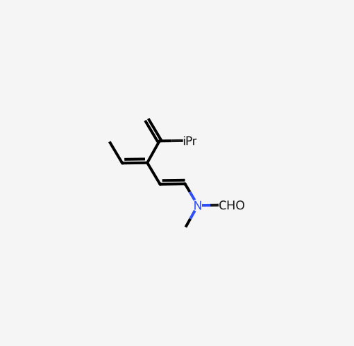 C=C(C(=C\C)/C=C/N(C)C=O)C(C)C